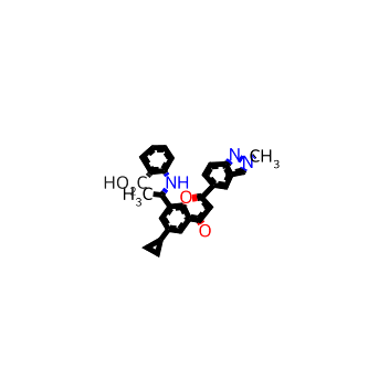 CC(Nc1ccccc1C(=O)O)c1cc(C2CC2)cc2c(=O)cc(-c3ccc4nn(C)cc4c3)oc12